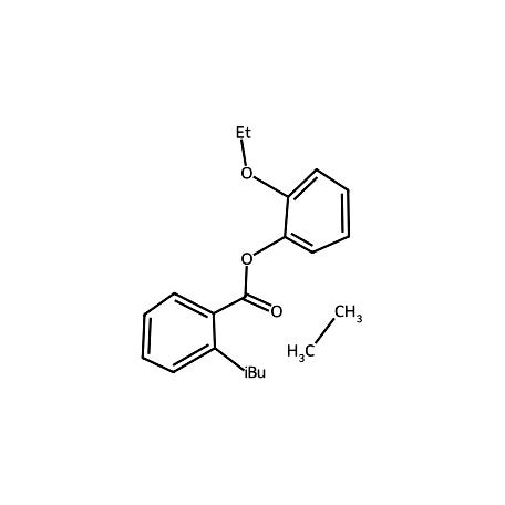 CC.CCOc1ccccc1OC(=O)c1ccccc1C(C)CC